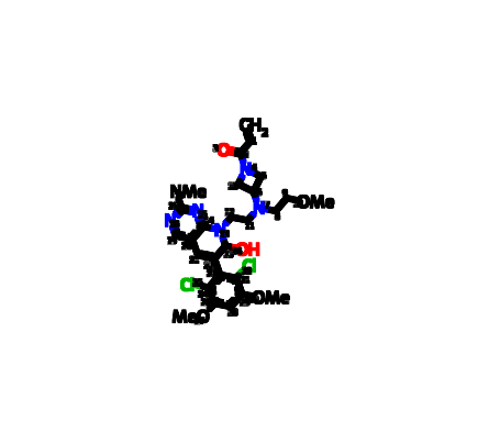 C=CC(=O)N1CC(N(CCOC)CCN2c3nc(NC)ncc3C=C(c3c(Cl)c(OC)cc(OC)c3Cl)C2O)C1